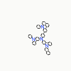 c1ccc(N2c3cc(-c4ccc(N(c5ccc6c(c5)c5ccccc5n6-c5ccccc5)c5ccc6c(c5)c5ccccc5n6-c5ccc6ccccc6c5)cc4)ccc3-c3cccc4cccc2c34)cc1